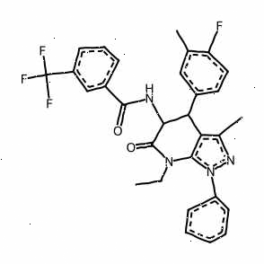 CCN1C(=O)C(NC(=O)c2cccc(C(F)(F)F)c2)C(c2ccc(F)c(C)c2)c2c(C)nn(-c3ccccc3)c21